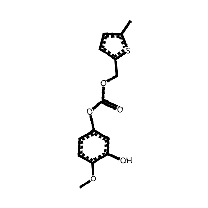 COc1ccc(OC(=O)OCc2ccc(C)s2)cc1O